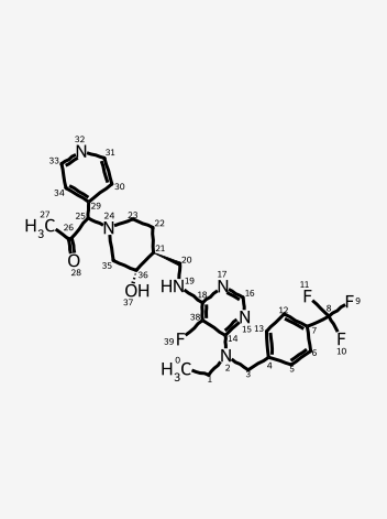 CCN(Cc1ccc(C(F)(F)F)cc1)c1ncnc(NC[C@@H]2CCN(C(C(C)=O)c3ccncc3)C[C@H]2O)c1F